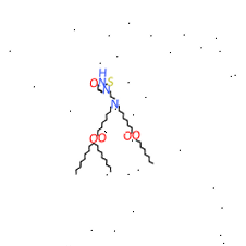 CCCCCCCCOC(=O)CCCCCCCN(CCCCCCCC(=O)OC(CCCCCCCC)CCCCCCCC)CCCn1ccc(=O)[nH]c1=S